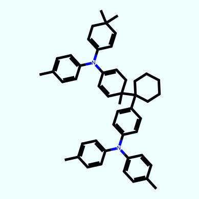 Cc1ccc(N(C2=CCC(C)(C)C=C2)C2=CCC(C)(C3(c4ccc(N(c5ccc(C)cc5)c5ccc(C)cc5)cc4)CCCCC3)C=C2)cc1